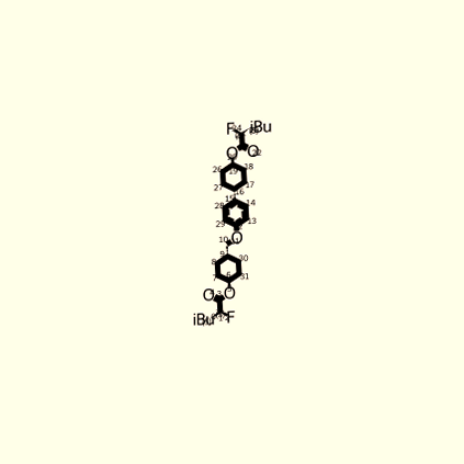 CC[C@H](C)[C@H](F)C(=O)O[C@H]1CC[C@H](COc2ccc([C@H]3CC[C@H](OC(=O)[C@@H](F)[C@@H](C)CC)CC3)cc2)CC1